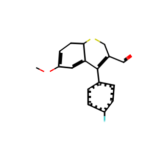 COC1=CCC2SCC(C=O)=C(c3ccc(F)cc3)C2=C1